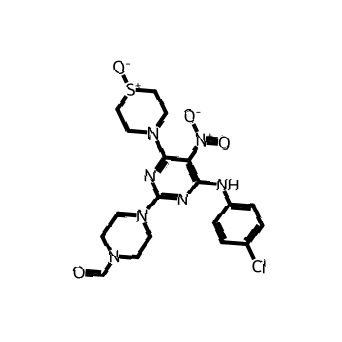 O=CN1CCN(c2nc(Nc3ccc(Cl)cc3)c([N+](=O)[O-])c(N3CC[S+]([O-])CC3)n2)CC1